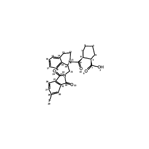 O=C(O)[C@@H]1CCCC[C@@H]1C(=O)N1CCc2ccccc2C1CN1C(=O)c2ccc(F)cc2C1=O